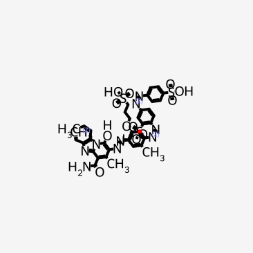 C=Cc1nc2c(C(N)=O)c(C)c(N=Nc3cc(C)c(/N=N\c4ccc(/N=N\c5ccc(S(=O)(=O)O)cc5)cc4S(=O)(=O)O)cc3OCCCS(=O)(=O)O)c(O)n2c1/C=C\C